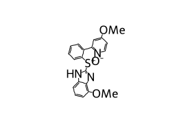 COc1ccnc(-c2ccccc2[S+]([O-])c2nc3c(OC)cccc3[nH]2)c1